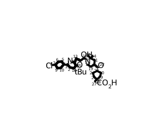 CC(C)(C)c1cc(-c2ccc(Cl)cc2)nc2cc(C(O)N3CCC(C(=O)[C@H]4CC[C@@](C)(C(=O)O)CC4)CC3(C)C)oc12